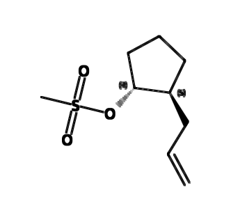 C=CC[C@@H]1CCC[C@H]1OS(C)(=O)=O